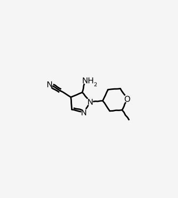 CC1CC(N2N=CC(C#N)C2N)CCO1